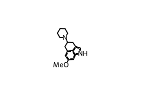 COc1cc2c3c(c[nH]c3c1)CC(N1CCCCC1)C2